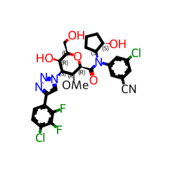 CO[C@@H]1[C@@H](n2cc(-c3ccc(Cl)c(F)c3F)nn2)[C@@H](O)[C@@H](CO)O[C@H]1C(=O)N(c1cc(Cl)cc(C#N)c1)[C@H]1CCC[C@@H]1O